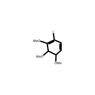 COC1=C(I)C=CC(OC)C1OC